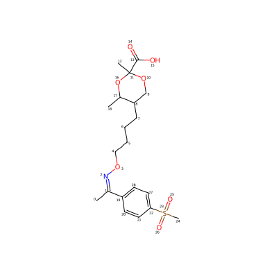 CC(=NOCCCCC1COC(C)(C(=O)O)OC1C)c1ccc(S(C)(=O)=O)cc1